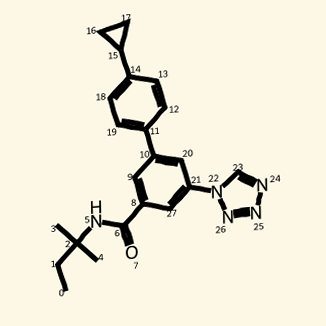 CCC(C)(C)NC(=O)c1cc(-c2ccc(C3CC3)cc2)cc(-n2cnnn2)c1